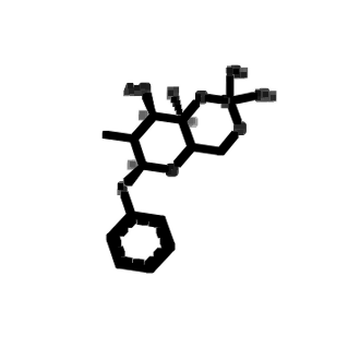 CC(=O)O[C@@H]1C(C)[C@H](Sc2ccccc2)OC2CO[Si](C(C)(C)C)(C(C)(C)C)O[C@@H]21